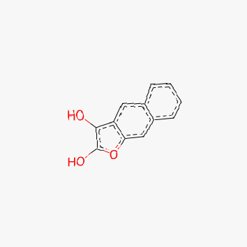 Oc1oc2cc3ccccc3cc2c1O